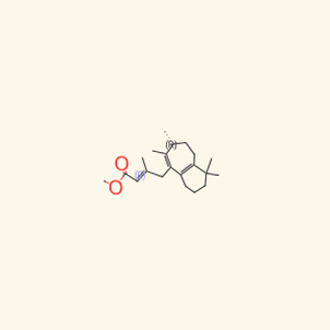 COC(=O)/C=C(\C)CC1=C(C)[C@H](C)CCC2=C1CCCC2(C)C